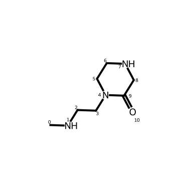 CNCCN1CCNCC1=O